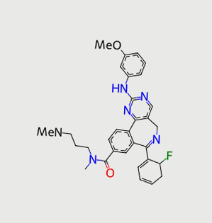 CNCCCN(C)C(=O)c1ccc2c(c1)C(C1=CC=CCC1F)=NCc1cnc(Nc3cccc(OC)c3)nc1-2